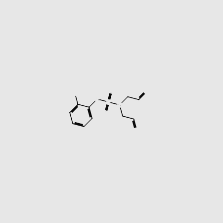 C=CCN(CC=C)S(=O)(=O)Nc1ccccc1C